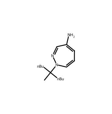 CCCCC(C)(CCCC)N1C=CC=C(N)C=N1